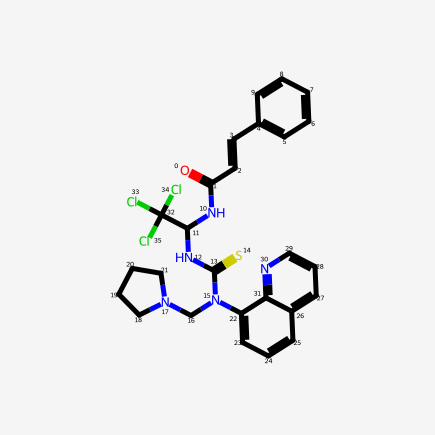 O=C(/C=C/c1ccccc1)NC(NC(=S)N(CN1CCCC1)c1cccc2cccnc12)C(Cl)(Cl)Cl